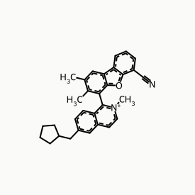 Cc1cc2c(oc3c(C#N)cccc32)c(-c2c3ccc(CC4CCCC4)cc3cc[n+]2C)c1C